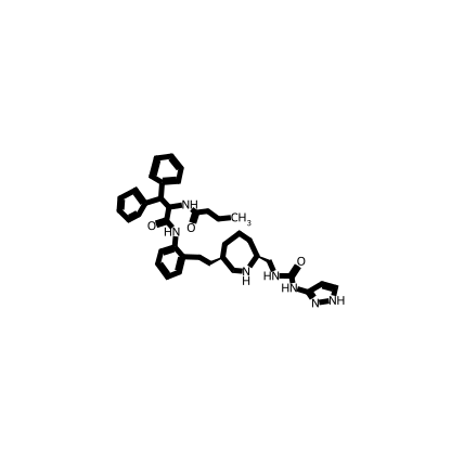 CCCC(=O)NC(C(=O)Nc1ccccc1CC[C@H]1CCC[C@@H](CNC(=O)Nc2cc[nH]n2)NC1)C(c1ccccc1)c1ccccc1